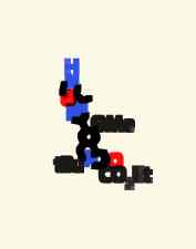 CCOC(=O)c1cn2c(cc1=O)-c1cc(OC)c(-c3cnn(C(C)C4CNCCO4)c3)cc1CC2C(C)(C)C